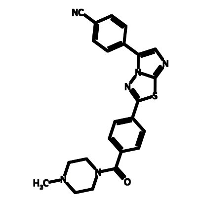 CN1CCN(C(=O)c2ccc(-c3nn4c(-c5ccc(C#N)cc5)cnc4s3)cc2)CC1